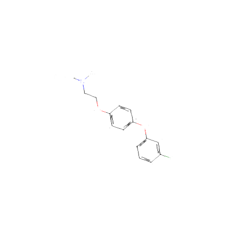 CCOC(=O)N(CCOc1ccc(Oc2cccc(Cl)c2)cc1)C(C)=O